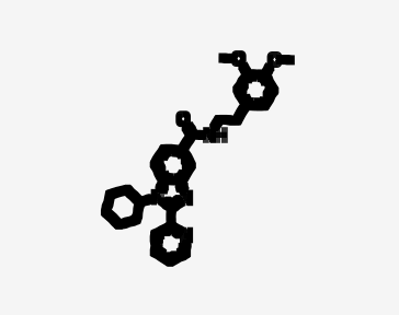 COc1ccc(CCNC(=O)c2ccc3c(c2)nc(-c2ccccn2)n3C2CCCCC2)cc1OC